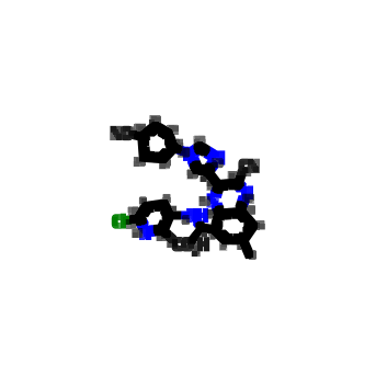 Cc1cc([C@@H](C)Nc2ccc(Cl)nc2C(=O)O)c2nc(-c3cn(-c4ccc(C#N)cc4)cn3)c(C#N)nc2c1